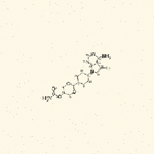 NC(=O)OC1COC(C2CCC(n3cc(I)c4c(N)ncnc43)CC2)OC1